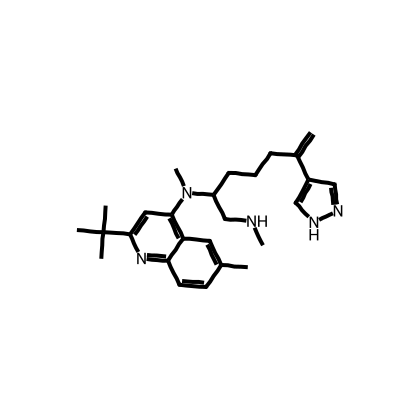 C=C(CCCC(CNC)N(C)c1cc(C(C)(C)C)nc2ccc(C)cc12)c1cn[nH]c1